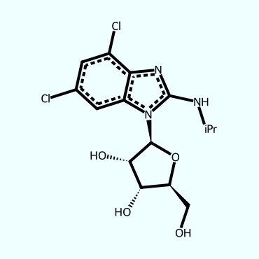 CC(C)Nc1nc2c(Cl)cc(Cl)cc2n1[C@H]1O[C@@H](CO)[C@H](O)[C@@H]1O